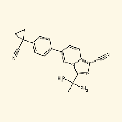 CC(P)(P)c1nc(C#N)c2ccc(-c3ccc(C4(C#N)CC4)cc3)cn12